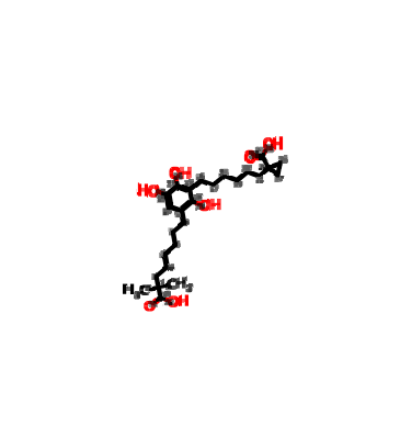 CC(C)(CCCCCCc1cc(O)c(O)c(CCCCCCC2(C(=O)O)CC2)c1O)C(=O)O